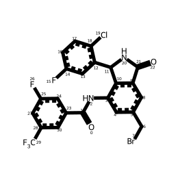 O=C(Nc1cc(CBr)cc2c1C(c1cc(F)ccc1Cl)NC2=O)c1cc(F)cc(C(F)(F)F)c1